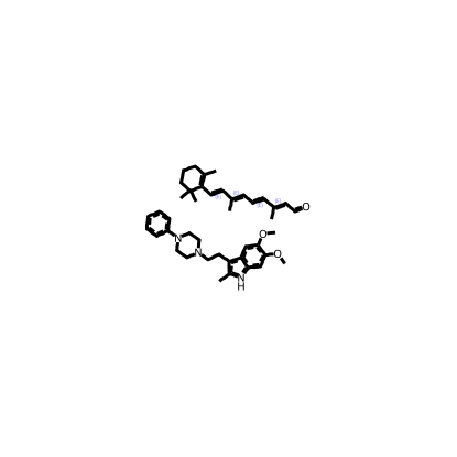 CC1=C(/C=C/C(C)=C/C=C/C(C)=C/C=O)C(C)(C)CCC1.COc1cc2[nH]c(C)c(CCN3CCN(c4ccccc4)CC3)c2cc1OC